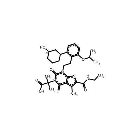 CCNC(=O)c1sc2c(c1C)c(=O)n(C(C)(C)C(=O)O)c(=O)n2CCc1c(OC(C)C)cccc1C1CCC[C@@H](O)C1